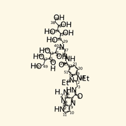 CCn1c(CNC(=O)c2nc3cc[nH]c3nc2N)[n+](CC)c2ccc(C(=O)NCCN(CC(O)C(O)C(O)C(O)CO)CC(O)C(O)C(O)C(O)CO)cc21